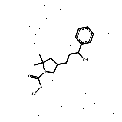 CC(C)(C)OC(=O)N1CC(CCC(O)c2ccccc2)CC1(C)C